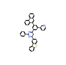 c1ccc(C2=NC(c3ccc4sc5ccccc5c4c3)CC(c3cc(-c4cccnc4)cc(-c4cc5ccccc5c5ccccc45)c3)=N2)cc1